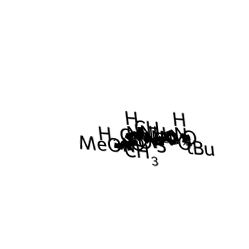 C=C(NC(=O)c1csc(N2CCC(NC(=O)OC(C)(C)C)CC2)n1)C(=O)NC(=C)C(=O)N(C)CCOC